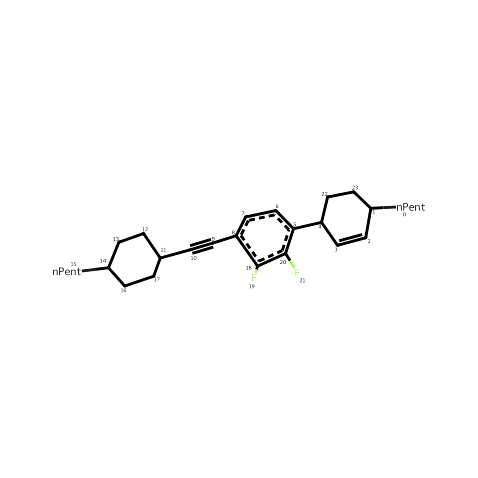 CCCCCC1C=CC(c2ccc(C#CC3CCC(CCCCC)CC3)c(F)c2F)CC1